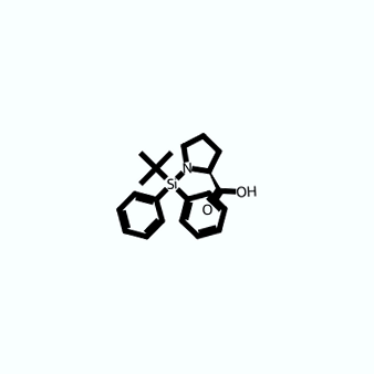 CC(C)(C)[Si](c1ccccc1)(c1ccccc1)N1CCC[C@H]1C(=O)O